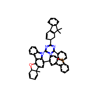 CC1(C)C2=C(C=CC(c3nc(-c4ccccc4)nc(-n4c5ccccc5c5c6c(cc(-c7ccc8sc9ccccc9c8c7)c54)C4(C)C=CC=CC4O6)n3)C2)c2ccccc21